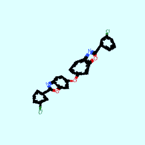 Clc1cccc(-c2nc3ccc(Oc4ccc5nc(-c6cccc(Cl)c6)oc5c4)cc3o2)c1